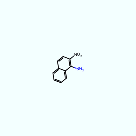 Nc1c([N+](=O)[O-])ccc2ccccc12